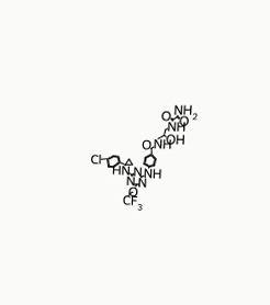 NC(=O)C(=O)NCC(O)CNC(=O)c1ccc(Nc2nc(NC3(c4ccc(Cl)cc4)CC3)nc(OCC(F)(F)F)n2)cc1